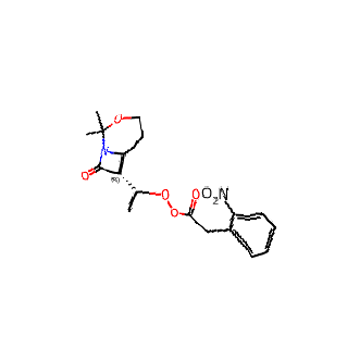 CC(OOC(=O)Cc1ccccc1[N+](=O)[O-])[C@@H]1C(=O)N2C1CCOC2(C)C